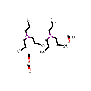 CCCP(CCC)CCC.CCCP(CCC)CCC.[C]=O.[C]=O.[C]=O.[Fe]